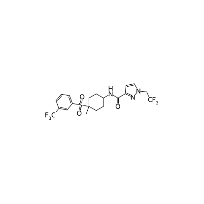 CC1(S(=O)(=O)c2cccc(C(F)(F)F)c2)CCC(NC(=O)c2ccn(CC(F)(F)F)n2)CC1